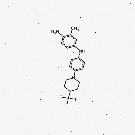 Cc1cc(Nc2ccc(N3CCC(C(F)(F)F)CC3)cc2)ccc1N